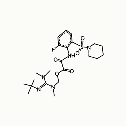 CN(C)/C(=N\C(C)(C)C)N(C)COC(=O)C(=O)Nc1c(F)cccc1S(=O)(=O)N1CCCCC1